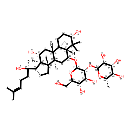 CC(C)=CCC[C@@](C)(O)[C@H]1CC[C@]2(C)[C@@H]1[C@H](O)C[C@@H]1[C@@]3(C)CC[C@H](O)C(C)(C)[C@@H]3[C@@H](O[C@@H]3O[C@H](CO)[C@@H](O)[C@H](O)[C@H]3O[C@@H]3O[C@@H](C)[C@H](O)[C@@H](O)[C@H]3O)C[C@]12C